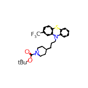 CC(C)(C)OC(=O)N1CCC(CCCN2c3ccccc3Sc3ccc(C(F)(F)F)cc32)CC1